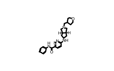 O=C(Nc1ccccc1)c1ccc(N[C@@H]2C[C@@H]3CN(CC4CCOCC4)C[C@@H]3C2)nn1